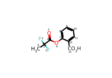 CC(F)(F)C(=O)Oc1ccccc1C(=O)O